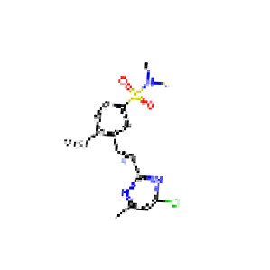 COc1ccc(S(=O)(=O)N(C)C)cc1/C=C/c1nc(C)cc(Cl)n1